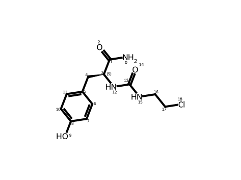 NC(=O)[C@H](Cc1ccc(O)cc1)NC(=O)NCCCl